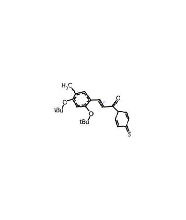 Cc1cc(/C=C/C(=O)C2C=CC(=S)C=C2)c(OC(C)(C)C)cc1OC(C)(C)C